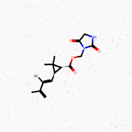 C=C(C)/C(C#N)=C/[C@@H]1[C@@H](C(=O)OCN2C(=O)CNC2=O)C1(C)C